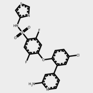 Nc1cc(-c2cc(Cl)ccc2Oc2cc(F)c(S(=O)(=O)Nc3cscn3)cc2F)ccn1